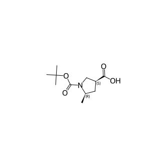 C[C@@H]1C[C@H](C(=O)O)CN1C(=O)OC(C)(C)C